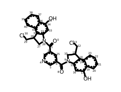 O=C(c1cncc(C(=O)N2CC(CCl)c3c2cc(O)c2ccccc32)c1)N1CC(CCl)c2c1cc(O)c1ccccc21